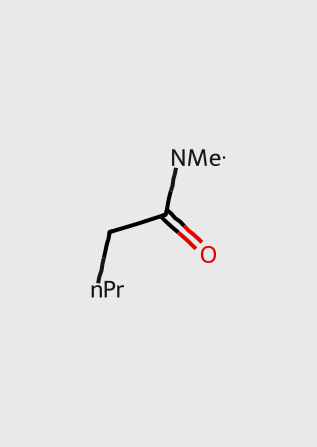 CCCCC(=O)[N]C